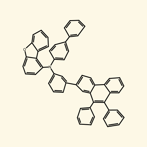 c1ccc(-c2ccc(N(c3cccc(-c4ccc5c(c4)c(-c4ccccc4)c(-c4ccccc4)c4ccccc45)c3)c3cccc4oc5ccccc5c34)cc2)cc1